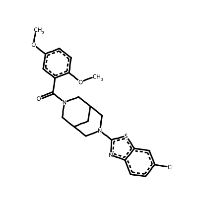 COc1ccc(OC)c(C(=O)N2CC3CC(C2)CN(c2nc4ccc(Cl)cc4s2)C3)c1